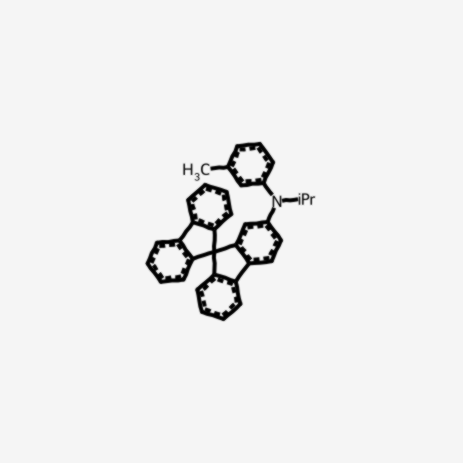 Cc1cccc(N(c2ccc3c(c2)C2(c4ccccc4-c4ccccc42)c2ccccc2-3)C(C)C)c1